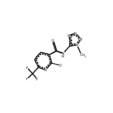 Cn1nnnc1NC(=O)c1ccc(C(F)(F)F)nc1Cl